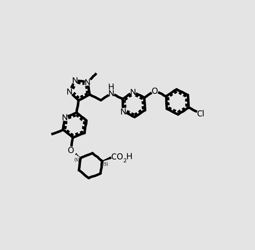 Cc1nc(-c2nnn(C)c2CNc2nccc(Oc3ccc(Cl)cc3)n2)ccc1O[C@H]1CCC[C@H](C(=O)O)C1